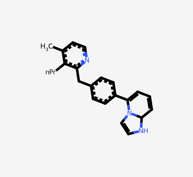 CCCc1c(C)ccnc1Cc1ccc(C2=CC=CC3NC=CN23)cc1